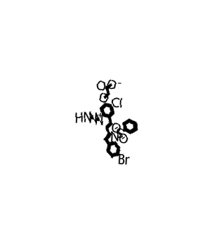 N=[N+]=Nc1cc(OCC(=O)[O-])c(Cl)cc1C=Cc1cc2ccc(Br)cc2n1S(=O)(=O)c1ccccc1